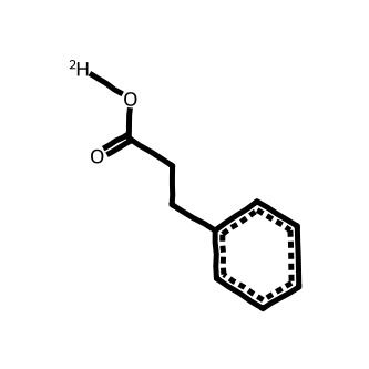 [2H]OC(=O)CCc1ccccc1